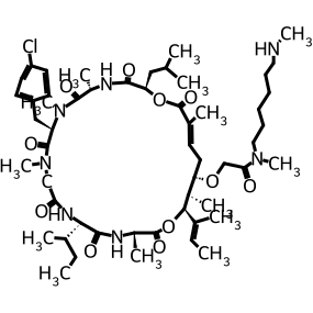 C/C=C(\C)[C@H]1OC(=O)[C@@H](C)NC(=O)[C@H](C(C)CC)NC(=O)CN(C)C(=O)[C@@H](Cc2ccc(Cl)cc2)N(C)C(=O)[C@H](C)NC(=O)[C@@H](CC(C)C)OC(=O)/C(C)=C/C[C@H](OCC(=O)N(C)CCCCCCNC)[C@@H]1C